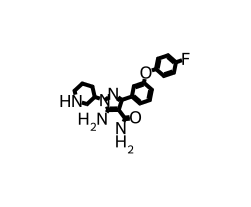 NC(=O)c1c(-c2cccc(Oc3ccc(F)cc3)c2)nn(C2CCCNC2)c1N